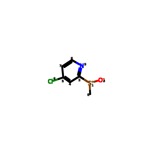 C[S+]([O-])c1cc(Cl)c[c]n1